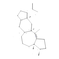 C/C1=C2\CC[C@@H](C)[C@@H]2CC[C@H](C)[C@H]2C[C@@]3(C)CC[C@H](C(C)C)[C@@H]3C[C@]12O